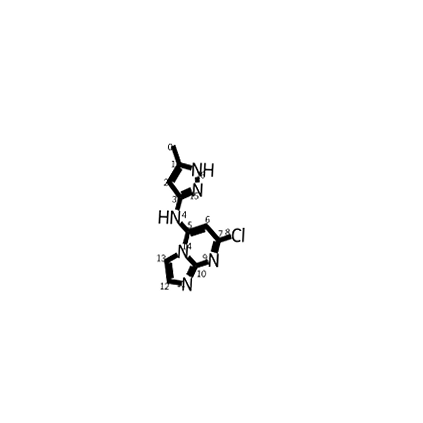 Cc1cc(Nc2cc(Cl)nc3nccn23)n[nH]1